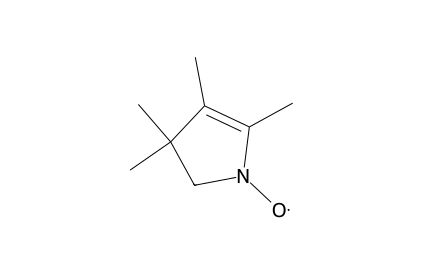 CC1=C(C)C(C)(C)CN1[O]